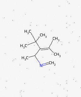 C=NC(C)C(=C(C)C)C(C)(C)C